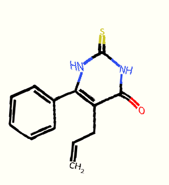 C=CCc1c(-c2ccccc2)[nH]c(=S)[nH]c1=O